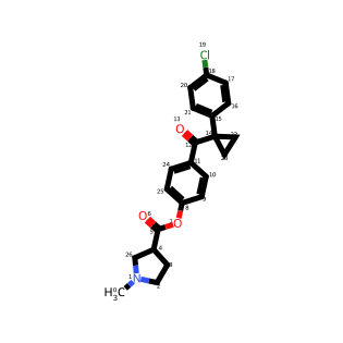 CN1CCC(C(=O)Oc2ccc(C(=O)C3(c4ccc(Cl)cc4)CC3)cc2)C1